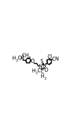 CN(C)Cc1ccc(OCCCN2C(=S)N(c3ccc(C#N)c(Cl)c3)C(=O)C2(C)C)cc1